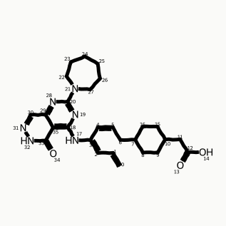 C=C/C=C(\C=C/CC1CCC(CC(=O)O)CC1)Nc1nc(N2CCCCCC2)nc2cn[nH]c(=O)c12